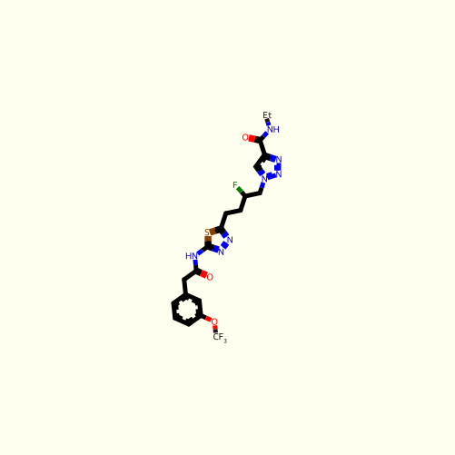 CCNC(=O)c1cn(CC(F)CCc2nnc(NC(=O)Cc3cccc(OC(F)(F)F)c3)s2)nn1